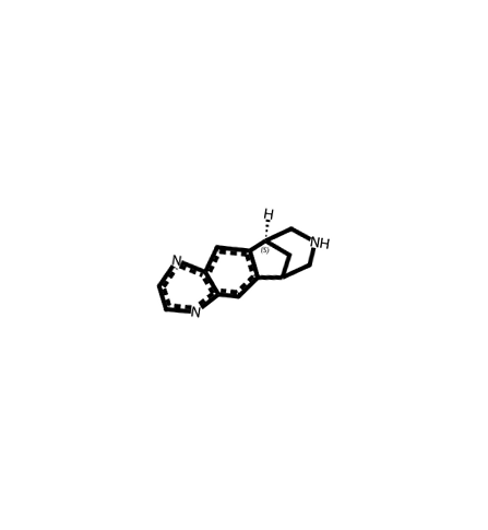 c1cnc2cc3c(cc2n1)C1CNC[C@H]3C1